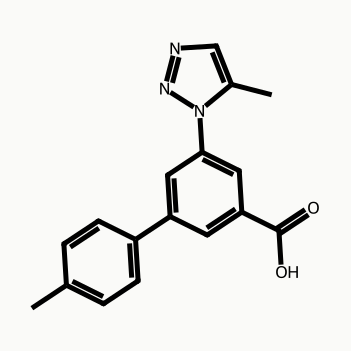 Cc1ccc(-c2cc(C(=O)O)cc(-n3nncc3C)c2)cc1